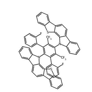 Fc1ccccc1-c1c(-n2c3ccccc3c3ccc4c5ccccc5sc4c32)c(-c2ccccc2F)c(C(F)(F)F)c(-n2c3ccccc3c3ccc4c5ccccc5sc4c32)c1C(F)(F)F